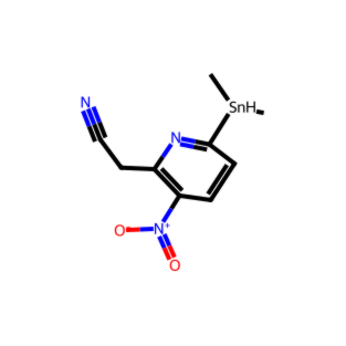 [CH3][SnH]([CH3])[c]1ccc([N+](=O)[O-])c(CC#N)n1